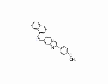 COc1ccc(-c2cn3ccc(/C=C\c4cccc5ccccc45)cc3n2)cc1